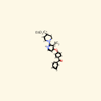 CCOC(=O)C1CCN(c2nccc(Oc3ccc(C(=O)c4ccccc4)cc3)c2[N+](=O)[O-])CC1